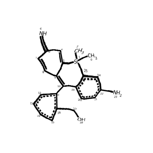 C[Si]1(C)C2=CC(=N)C=CC2=C(c2ccccc2CO)c2ccc(N)cc21